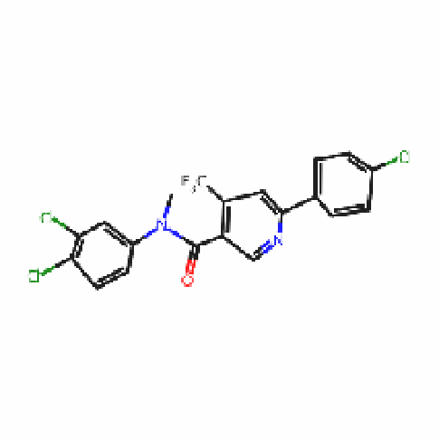 CN(C(=O)c1cnc(-c2ccc(Cl)cc2)cc1C(F)(F)F)c1ccc(Cl)c(Cl)c1